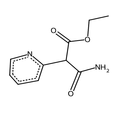 CCOC(=O)C(C(N)=O)c1ccccn1